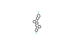 Fc1ccc2cc3c(cc2c1)c1cccc2c4cc5c6ccc(F)cc6c6cccc(c4cc3c12)c65